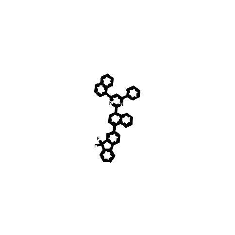 FC1(F)c2ccccc2-c2ccc(-c3ccc(-c4nc(-c5ccccc5)cc(-c5cccc6ccccc56)n4)c4ccccc34)cc21